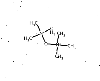 C[N+](C)(C)O[N+](C)(C)C